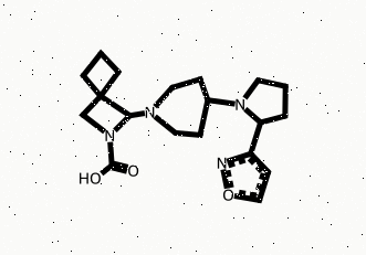 O=C(O)N1CC2(CCC2)C1N1CCC(N2CCCC2c2ccon2)CC1